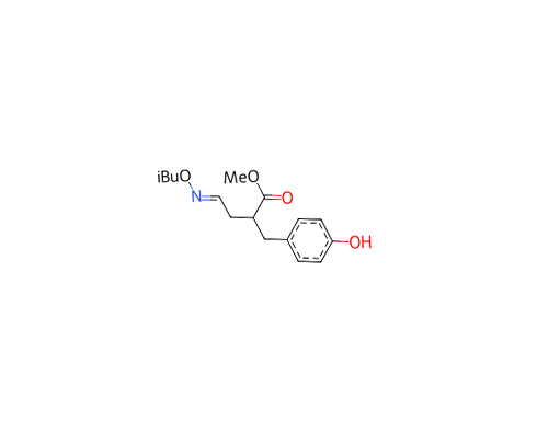 COC(=O)C(CC=NOCC(C)C)Cc1ccc(O)cc1